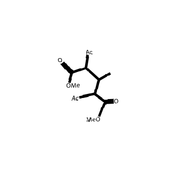 COC(=O)C(C(C)=O)C(C)C(C(C)=O)C(=O)OC